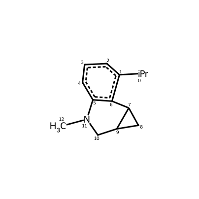 CC(C)c1cccc2c1C1CC1CN2C